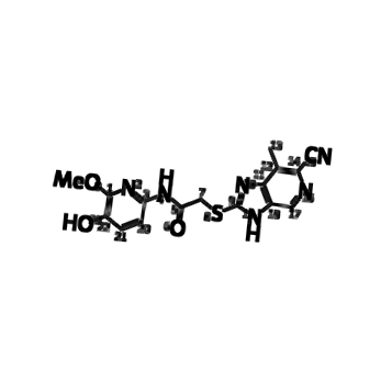 COc1nc(NC(=O)CSc2nc3c(C)c(C#N)ncc3[nH]2)ccc1O